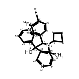 CCN(C1CCC1)C(c1ccc(F)c(F)c1)C(O)(c1cccnc1)c1cccnc1